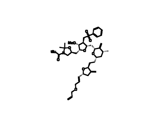 C=CCOC/C=C/[C@H]1CC(=C)[C@H](CC[C@H]2C[C@@H](C)C(=C)[C@@H](C[C@@H]3O[C@H](C[C@H]4CN(C(=O)C(C)(C)C)C(C)(C)O4)[C@H](OC)[C@H]3CS(=O)(=O)c3ccccc3)O2)O1